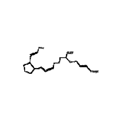 CCCCCC/C=C/[C@H]1CCC[C@@H]1C/C=C\CCCC(C=O)OC/C=C/CCCCCCC